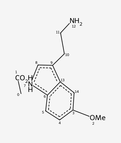 CC(=O)O.COc1ccc2[nH]cc(CCN)c2c1